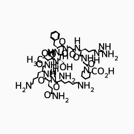 C[C@@H](O)[C@H](NC(=O)[C@H](CCCCN)NC(=O)[C@H](CCC(N)=O)NC(=O)[C@@H](N)CCCCN)C(=O)N[C@@H](CO)C(=O)N[C@@H](Cc1ccccc1)C(=O)NCC(=O)N[C@@H](CCCNC(=N)N)C(=O)NCC(=O)N1CCCC[C@H]1C(=O)O